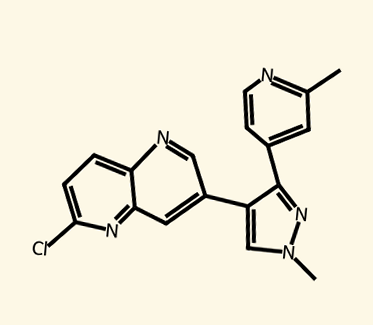 Cc1cc(-c2nn(C)cc2-c2cnc3ccc(Cl)nc3c2)ccn1